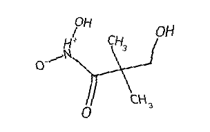 CC(C)(CO)C(=O)[NH+]([O-])O